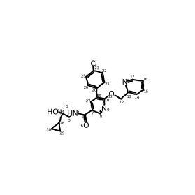 C[C@](O)(CNC(=O)c1cnc(OCc2ccccn2)c(-c2ccc(Cl)cc2)c1)C1CC1